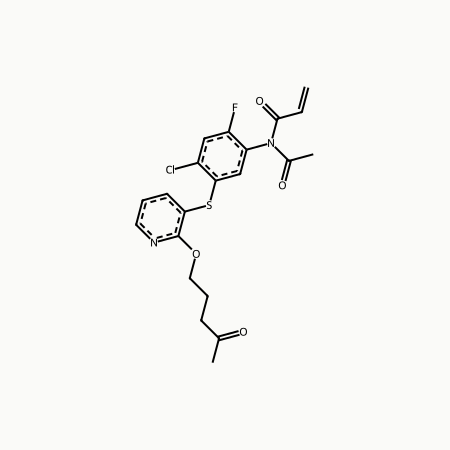 C=CC(=O)N(C(C)=O)c1cc(Sc2cccnc2OCCCC(C)=O)c(Cl)cc1F